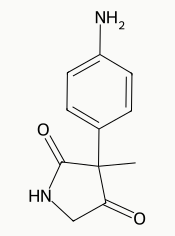 CC1(c2ccc(N)cc2)C(=O)CNC1=O